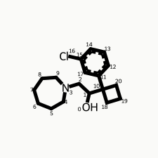 OC(CN1CCCCCC1)C1(c2cccc(Cl)c2)CCC1